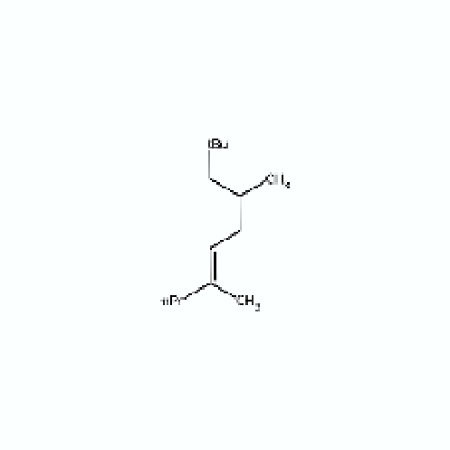 CC[CH]C(C)=CCC(C)CC(C)(C)C